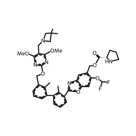 COc1nc(OCc2cccc(-c3cccc(-c4nc5cc(COC(=O)[C@@H]6CCCN6)c(OC(F)F)cc5o4)c3C)c2C)nc(OC)c1CN1CC(C)(C)C1